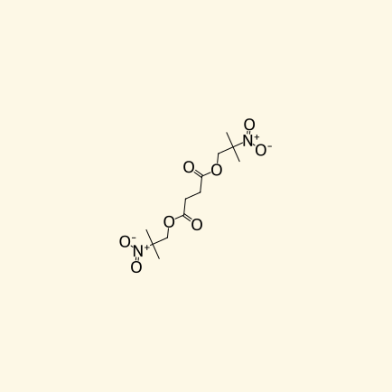 CC(C)(COC(=O)CCC(=O)OCC(C)(C)[N+](=O)[O-])[N+](=O)[O-]